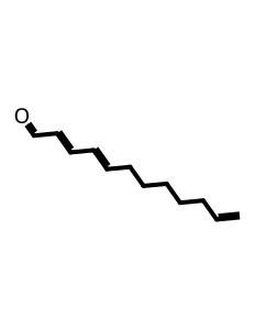 C=CCCCCCC=CC=CC=O